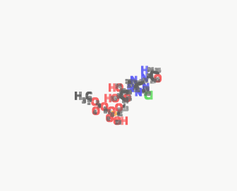 CCOC(=O)OCOP(=O)(O)COC[C@H]1O[C@@H](n2cnc3c(N[C@H]4CCOC4)nc(Cl)nc32)[C@H](O)[C@@H]1O